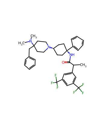 CC(C(=O)N[C@]1(c2ccccc2)CC[C@H](N2CCC(Cc3ccccc3)(N(C)C)CC2)CC1)c1cc(C(F)(F)F)cc(C(F)(F)F)c1